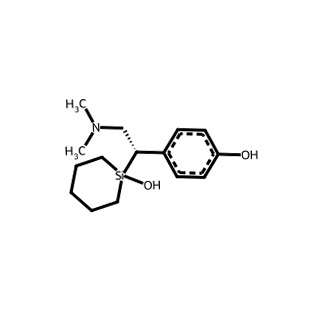 CN(C)C[C@H](c1ccc(O)cc1)[Si]1(O)CCCCC1